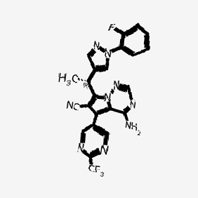 C[C@H](c1cnn(-c2ccccc2F)c1)c1c(C#N)c(-c2cnc(C(F)(F)F)nc2)c2c(N)ncnn12